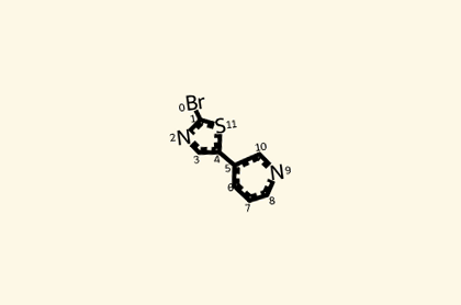 Brc1ncc(-c2cccnc2)s1